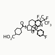 O=C(O)C1CCC(C(=O)N2CCC3(S(=O)(=O)c4ccc(F)cc4)c4cnc(C(F)(C(F)(F)F)C(F)(F)F)cc4CCC23)CC1